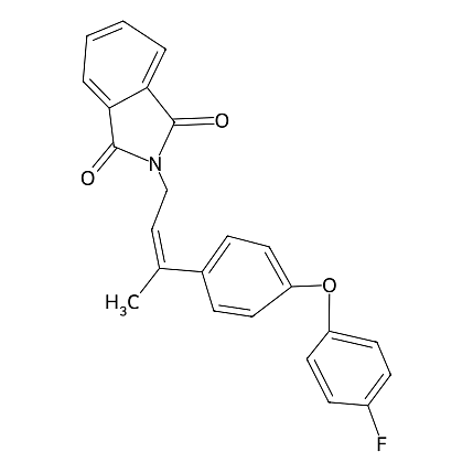 CC(=CCN1C(=O)c2ccccc2C1=O)c1ccc(Oc2ccc(F)cc2)cc1